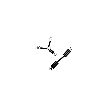 N#CC#N.O=[N+]([O-])O